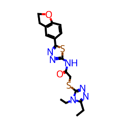 CCc1nnc(SCC(=O)Nc2nnc(-c3ccc4c(c3)CCO4)s2)n1CC